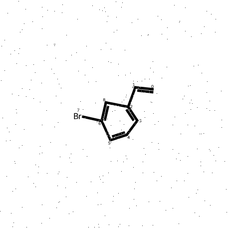 C=[C]c1cccc(Br)c1